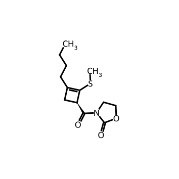 CCCCC1=C(SC)[C@@H](C(=O)N2CCOC2=O)C1